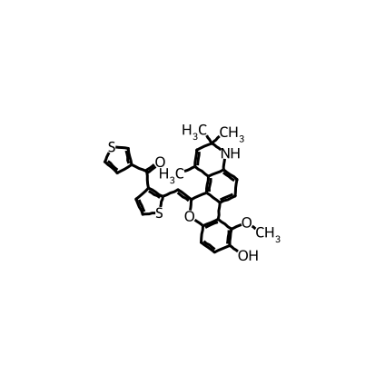 COc1c(O)ccc2c1-c1ccc3c(c1/C(=C/c1sccc1C(=O)c1ccsc1)O2)C(C)=CC(C)(C)N3